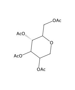 CC(=O)OCC1OCC(OC(C)=O)C(OC(C)=O)[C@@H]1OC(C)=O